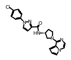 O=C(N[C@H]1CCN(c2nccn3cccc23)C1)c1ccn(-c2ccc(Cl)cc2)n1